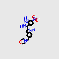 N=C(c1cc2cc(CN3CCOCC3)ccc2[nH]1)c1ccc([N+](=O)[O-])cc1N